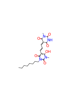 CCCCCCCCn1c(=O)c(C=CC=C2C(=O)NC(=O)N(C)C2=O)c(O)n(C)c1=O